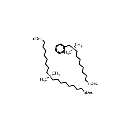 CCCCCCCCCCCCCCCCCC[N+](C)(C)CCCCCCCCCCCCCCCCCC.CCCCCCCCCCCCCCCCCC[N+](C)(C)Cc1ccccc1